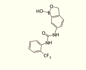 O=C(Nc1ccc2c(c1)B(O)OC2)Nc1ccccc1C(F)(F)F